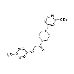 CC(C)COc1cc(N2CCN(C(=O)COc3ccc(C(F)(F)F)nc3)CC2)ncn1